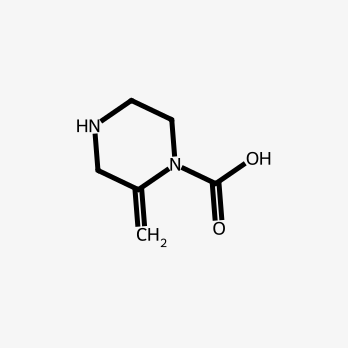 C=C1CNCCN1C(=O)O